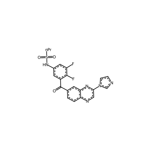 CCCS(=O)(=O)Nc1cc(F)c(F)c(C(=O)c2ccc3ncc(-n4ccnc4)nc3c2)c1